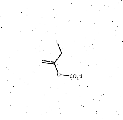 C=C(CI)OC(=O)O